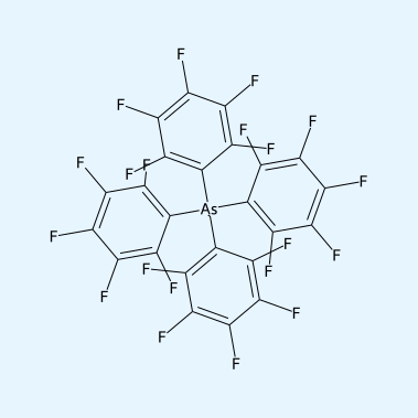 Fc1c(F)c(F)c([As](c2c(F)c(F)c(F)c(F)c2F)(c2c(F)c(F)c(F)c(F)c2F)c2c(F)c(F)c(F)c(F)c2F)c(F)c1F